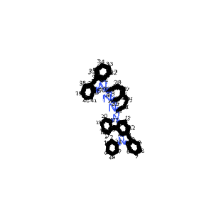 c1ccc(-n2c3ccccc3c3ccc4c(c5ccccc5n4-c4ccc5ccc(-n6c7ccccc7c7ccccc76)nc5n4)c32)cc1